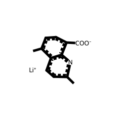 Cc1ccc2c(C)ccc(C(=O)[O-])c2n1.[Li+]